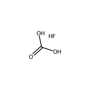 F.O=C(O)O